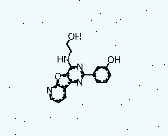 OCCNc1nc(-c2cccc(O)c2)nc2c1oc1ncccc12